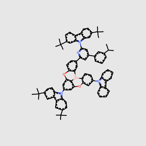 CC(C)c1cccc(-c2cc(-c3ccc4c(c3)B3c5ccc(-n6c7ccccc7c7ccccc76)cc5Oc5cc(-n6c7ccc(C(C)(C)C)cc7c7cc(C(C)(C)C)ccc76)cc(c53)O4)nc(-n3c4cc(C(C)(C)C)ccc4c4ccc(C(C)(C)C)cc43)c2)c1